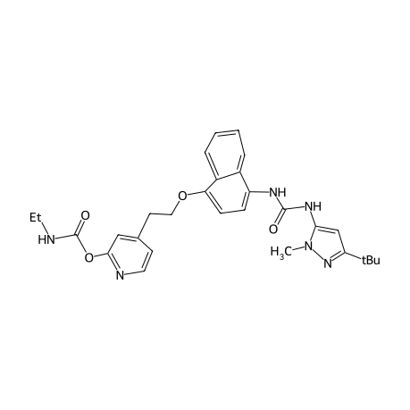 CCNC(=O)Oc1cc(CCOc2ccc(NC(=O)Nc3cc(C(C)(C)C)nn3C)c3ccccc23)ccn1